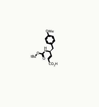 COc1ccc(C[C@@H](/C=C/C(=O)O)NC(=O)OC(C)(C)C)cc1